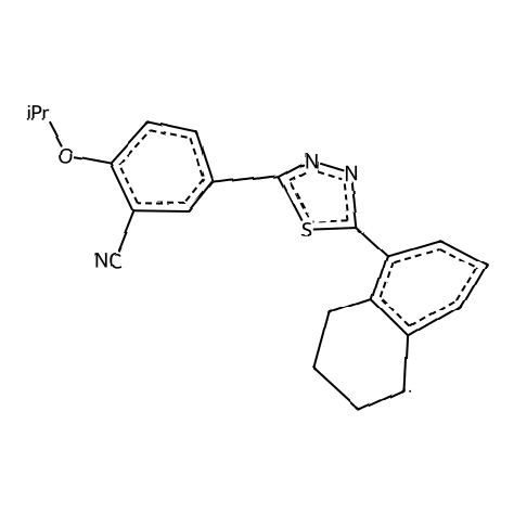 CC(C)Oc1ccc(-c2nnc(-c3cccc4c3CCC[CH]4)s2)cc1C#N